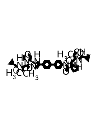 CC(C)[C@@H](NC(=O)C1CC1)C(=O)N1CCC[C@H]1C(=O)Nc1ccc(-c2ccc(-c3cnc([C@@H]4COCCN4C(=O)[C@H](NC(=O)C4CC4)C(C)C)[nH]3)cc2)cc1